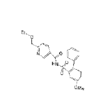 CCOCc1ccc(C(=O)NS(=O)(=O)c2cc(OC)ccc2-c2ccccc2)cn1